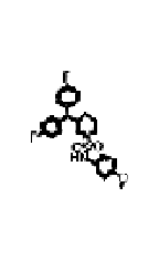 COc1ccc(NS(=O)(=O)N2CCCC(C(c3ccc(F)cc3)c3ccc(F)cc3)C2)cc1